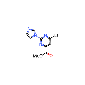 CCc1cc(C(=O)OC)nc(-n2ccnc2)n1